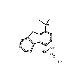 CC(C)(C)[NH-].C[SiH](C)c1cccc2c1Cc1ccccc1-2.[Cl-].[Cl-].[Ti+3]